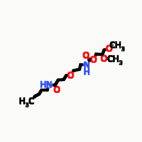 CCCCCNC(=O)CCCOCCCNC(=O)OCC(COC)OC